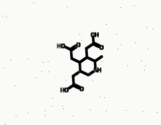 CC1NCC(CC(=O)O)C(CC(=O)O)C1CC(=O)O